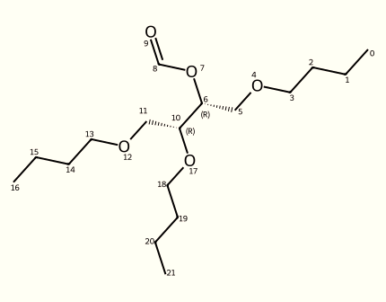 CCCCOC[C@@H](OC=O)[C@@H](COCCCC)OCCCC